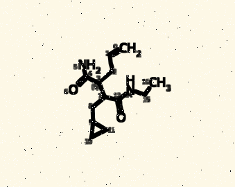 C=CC[C@H](C(N)=O)C(CC1CC1)C(=O)NCC